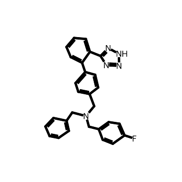 Fc1ccc(CN(Cc2ccccc2)Cc2ccc(-c3ccccc3-c3nn[nH]n3)cc2)cc1